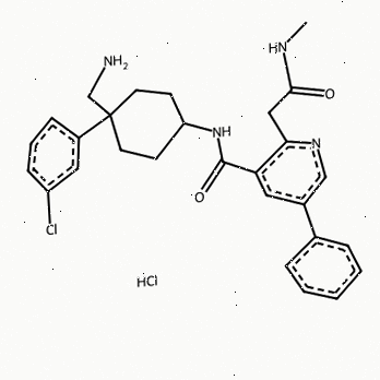 CNC(=O)Cc1ncc(-c2ccccc2)cc1C(=O)NC1CCC(CN)(c2cccc(Cl)c2)CC1.Cl